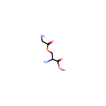 CC(C)(C)OC(=O)C(N)COC(=O)CN